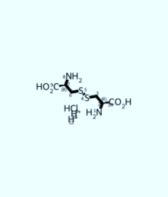 Cl.N[C@@H](CSSC[C@H](N)C(=O)O)C(=O)O.[H+].[H+]